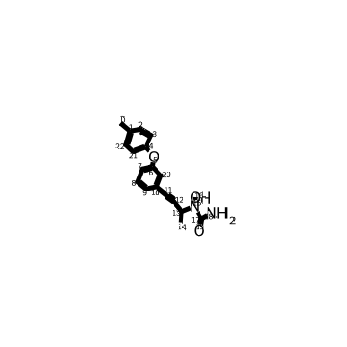 Cc1ccc(Oc2cccc(C#CC(C)N(O)C(N)=O)c2)cc1